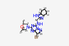 CC1CN(c2nc(NCc3nc4ccccc4[nH]3)n3ncc(Br)c3n2)CC(C)O1